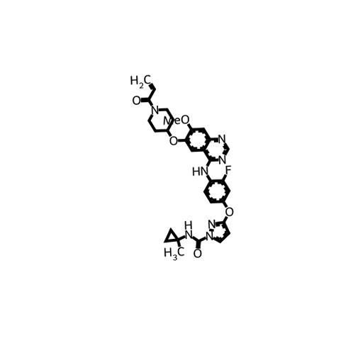 C=CC(=O)N1CCC(Oc2cc3c(Nc4ccc(Oc5ccn(C(=O)NC6(C)CC6)n5)cc4F)ncnc3cc2OC)CC1